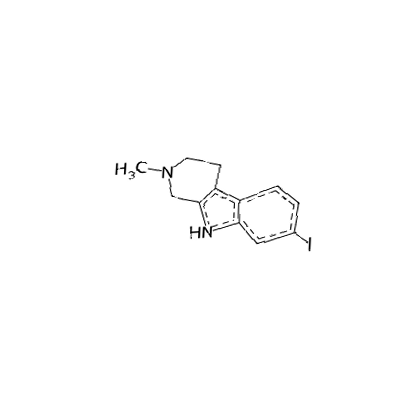 CN1CCc2c([nH]c3cc(I)ccc23)C1